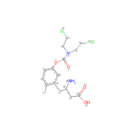 Cc1ccc(OC(=O)N(CCCl)CCCl)cc1CC(N)CC(=O)O